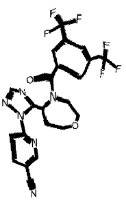 N#Cc1ccc(-n2ncnc2C2COCCN2C(=O)c2cc(C(F)(F)F)cc(C(F)(F)F)c2)nc1